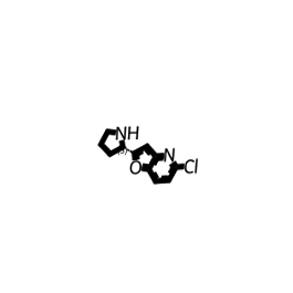 Clc1ccc2oc([C@@H]3CCCN3)cc2n1